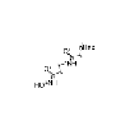 CCCCCCCC(=O)NCCC(=O)NO